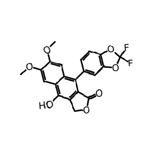 COc1cc2c(O)c3c(c(-c4ccc5c(c4)OC(F)(F)O5)c2cc1OC)C(=O)OC3